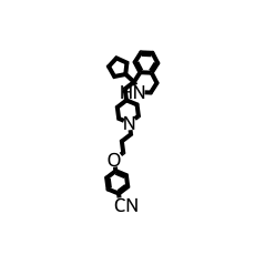 N#Cc1ccc(OCCCN2CCC(CC3(C4CCCC4)NCCc4ccccc43)CC2)cc1